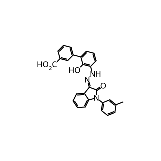 Cc1cccc(N2C(=O)C(=NNc3cccc(-c4cccc(C(=O)O)c4)c3O)c3ccccc32)c1